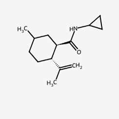 C=C(C)[C@@H]1CCC(C)C[C@H]1C(=O)NC1CC1